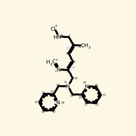 C=N/C(=C\C=C(/C)CNCl)CN(Cc1ccccn1)Cc1ccccn1